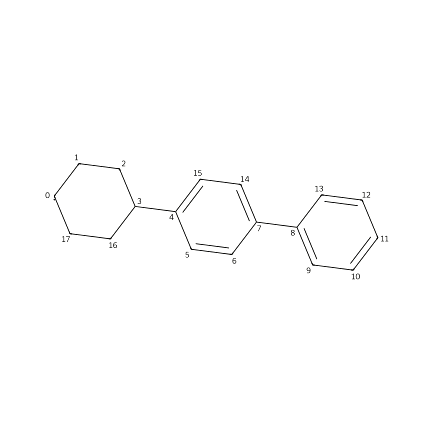 [CH]1CCC(c2ccc(-c3ccccc3)cc2)CC1